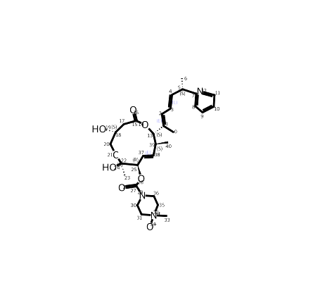 C/C(=C\C=C\[C@H](C)c1ccccn1)[C@H]1OC(=O)C[C@@H](O)CC[C@](C)(O)[C@H](OC(=O)N2CC[N+](C)([O-])CC2)/C=C/[C@@H]1C